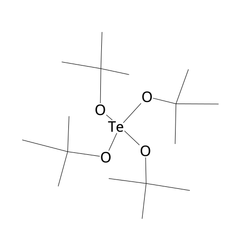 CC(C)(C)O[Te](OC(C)(C)C)(OC(C)(C)C)OC(C)(C)C